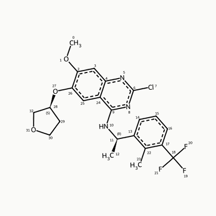 COc1cc2nc(Cl)nc(N[C@H](C)c3cccc(C(F)(F)F)c3C)c2cc1O[C@H]1CCOC1